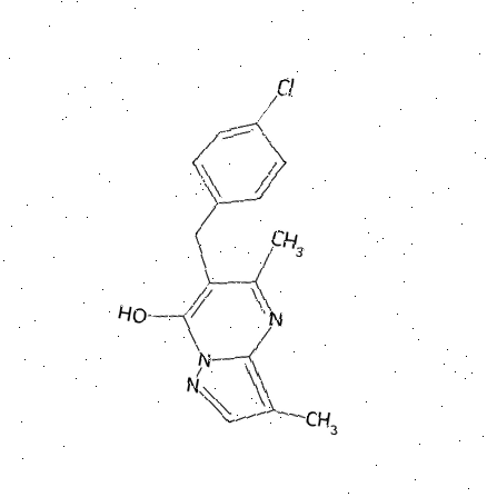 Cc1nc2c(C)cnn2c(O)c1Cc1ccc(Cl)cc1